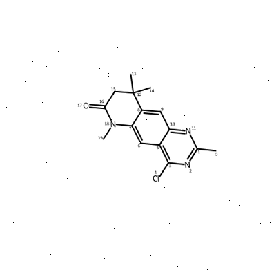 Cc1nc(Cl)c2cc3c(cc2n1)C(C)(C)CC(=O)N3C